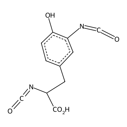 O=C=Nc1cc(CC(N=C=O)C(=O)O)ccc1O